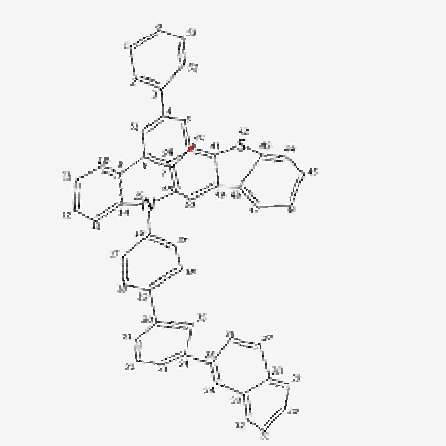 c1ccc(-c2cccc(-c3ccccc3N(c3ccc(-c4cccc(-c5ccc6ccccc6c5)c4)cc3)c3ccc4sc5ccccc5c4c3)c2)cc1